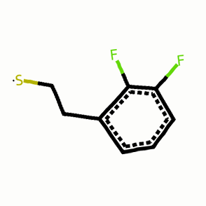 Fc1cccc(CC[S])c1F